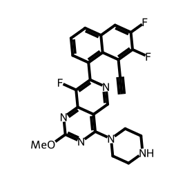 C#Cc1c(F)c(F)cc2cccc(-c3ncc4c(N5CCNCC5)nc(OC)nc4c3F)c12